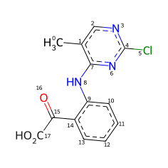 Cc1cnc(Cl)nc1Nc1ccccc1C(=O)C(=O)O